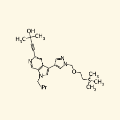 CC(C)Cn1cc(-c2cnn(COCCS(C)(C)C)c2)c2cc(C#CC(C)(C)O)ncc21